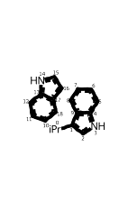 CC(C)c1c[nH]c2ccccc12.c1ccc2[nH]ccc2c1